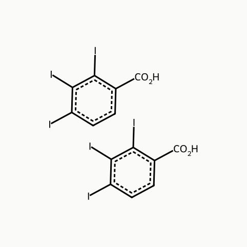 O=C(O)c1ccc(I)c(I)c1I.O=C(O)c1ccc(I)c(I)c1I